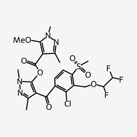 COc1c(C(=O)Oc2c(C(=O)c3ccc(S(C)(=O)=O)c(COC(F)C(F)F)c3Cl)c(C)nn2C)c(C)nn1C